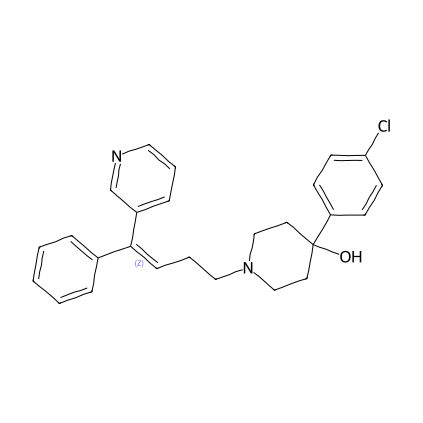 OC1(c2ccc(Cl)cc2)CCN(CC/C=C(/c2ccccc2)c2cccnc2)CC1